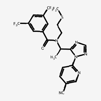 CC(c1ncnn1-c1ccc(C#N)cn1)N(CCSC(F)(F)F)C(=O)c1cc(C(F)(F)F)cc(C(F)(F)F)c1